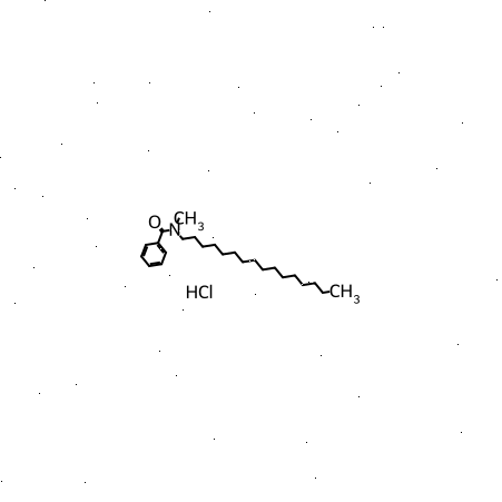 CCCCCCCCCCCCCCCCN(C)C(=O)c1ccccc1.Cl